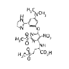 CN(C)c1cc(Oc2nc(S(C)(=O)=O)nc(NC(CCS(C)(=O)=O)C(=O)O)c2[N+](=O)[O-])cc(C2=NCCN2)c1